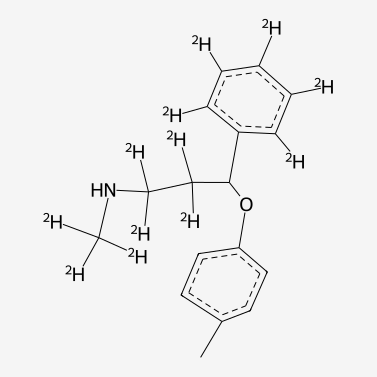 [2H]c1c([2H])c([2H])c(C(Oc2ccc(C)cc2)C([2H])([2H])C([2H])([2H])NC([2H])([2H])[2H])c([2H])c1[2H]